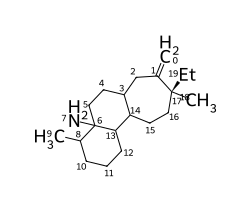 C=C1CC2CCC3(N)C(C)CCCC3C2CC[C@]1(C)CC